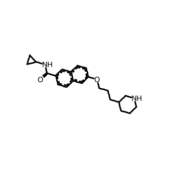 O=C(NC1CC1)c1ccc2cc(OCCCC3CCCNC3)ccc2c1